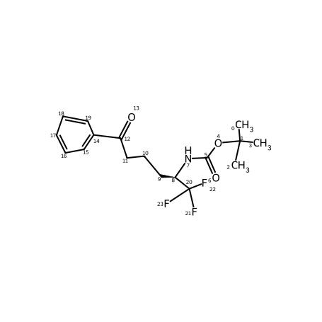 CC(C)(C)OC(=O)N[C@H](CCCC(=O)c1ccccc1)C(F)(F)F